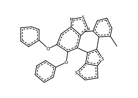 Cc1cccc(C)c1-c1sc2ccsc2c1-c1c(Oc2ccccc2)c(Oc2ccccc2)cc2nsnc12